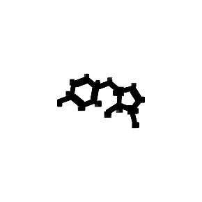 Cc1ccc(CN2C=CN(C)C2C)cc1